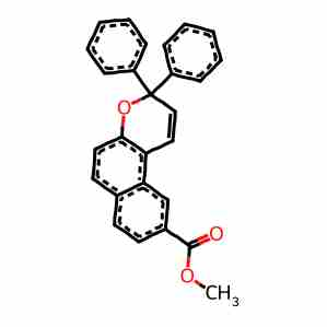 COC(=O)c1ccc2ccc3c(c2c1)C=CC(c1ccccc1)(c1ccccc1)O3